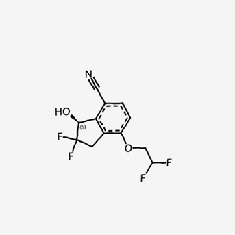 N#Cc1ccc(OCC(F)F)c2c1[C@H](O)C(F)(F)C2